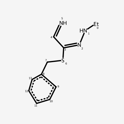 CCN/N=C(\C=N)SCc1ccccc1